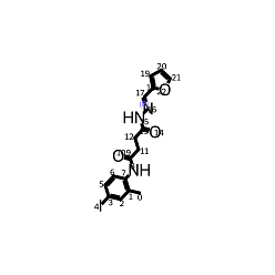 Cc1cc(I)ccc1NC(=O)CCC(=O)N/N=C/c1ccco1